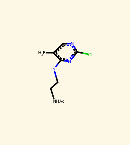 Bc1cnc(Cl)nc1NCCNC(C)=O